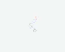 CC(C)(C)OC(=O)N1CCN(c2ccc3ncnc(Nc4ccc(Cl)c(Cl)c4)c3n2)CC1